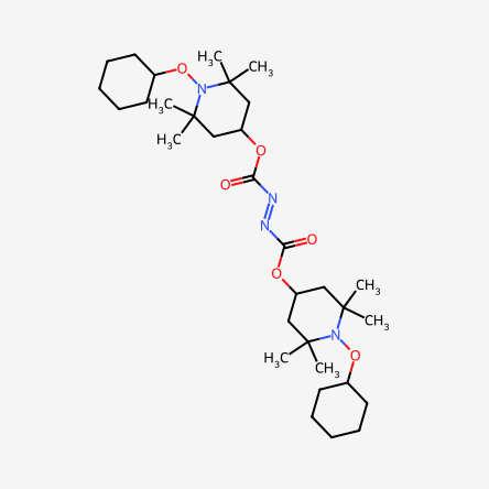 CC1(C)CC(OC(=O)N=NC(=O)OC2CC(C)(C)N(OC3CCCCC3)C(C)(C)C2)CC(C)(C)N1OC1CCCCC1